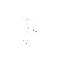 CC(C)(C)C(CC1=NN(CC2CC2)C(=O)C1)NC(=O)O